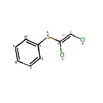 Cl/C=C(\Cl)Sc1[c]cccc1